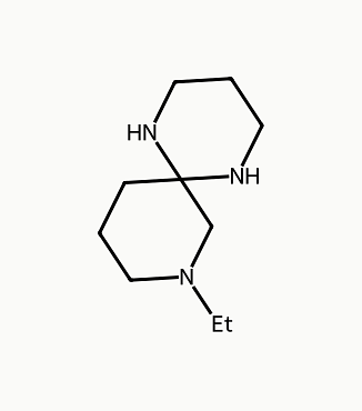 CCN1CCCC2(C1)NCCCN2